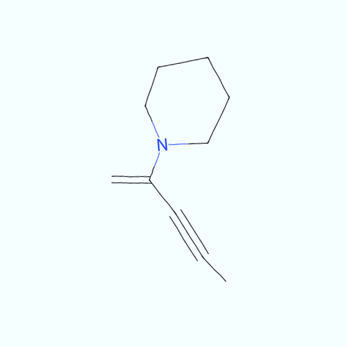 C=C(C#CC)N1CCCCC1